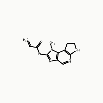 C=CC(=O)Nc1nc2cnc3c(c2n1C)CCN3